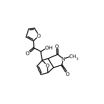 CN1C(=O)C2C3C=CC(C(O)C(=O)c4ccco4)(O3)C2C1=O